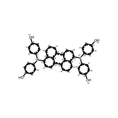 Oc1ccc(N(c2ccc(O)cc2)c2ccc3c4cccc5c(N(c6ccc(O)cc6)c6ccc(O)cc6)ccc(c6cccc2c63)c54)cc1